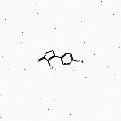 CC1=C(c2ccc(C)cc2)CCC1=O